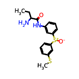 CCC(N)C(=O)Nc1cccc([S+]([O-])c2cccc(SC)c2)c1